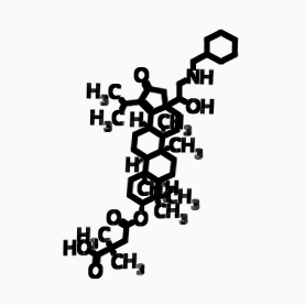 CC(C)C1=C2[C@H]3CC[C@@H]4[C@@]5(C)CC[C@H](OC(=O)CC(C)(C)C(=O)O)C(C)(C)[C@@H]5CC[C@@]4(C)[C@]3(C)CCC2(C(O)CNCC2CCCCC2)CC1=O